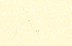 CCOC(C)(OC)OOC(C)=O